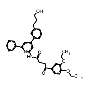 CCOc1ccc(C(=O)CCC(=O)Nc2cc(-c3cccc(CCCO)c3)cc(-c3ccccc3)n2)cc1OCC